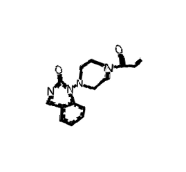 C=CC(=O)N1CCN(n2c(=O)ncc3ccccc32)CC1